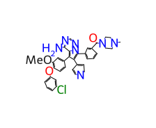 COc1cc(-c2c(-c3ccncc3)c(-c3cccc(C(=O)N4CCN(C)CC4)c3)n3ncnc(N)c23)ccc1Oc1cccc(Cl)c1